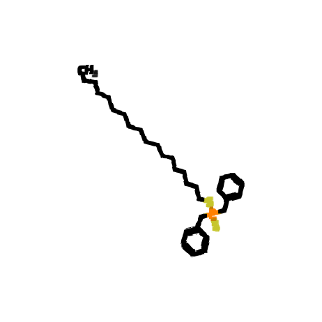 CCCCCCCCCCCCCCCCCCSP(=S)(Cc1ccccc1)Cc1ccccc1